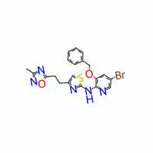 Cc1noc(CCc2csc(Nc3ncc(Br)cc3OCc3ccccc3)n2)n1